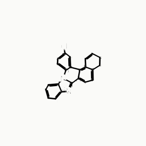 Clc1ccc2c(c1)c1c3c(ccc1c1nc4ccccc4n21)CCC=C3